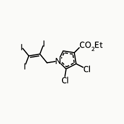 CCOC(=O)c1cn(CC(I)=C(I)I)c(Cl)c1Cl